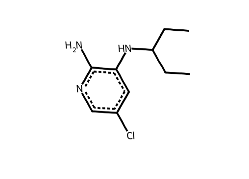 CCC(CC)Nc1cc(Cl)cnc1N